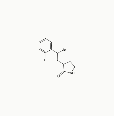 O=C1NCCC1CC(Br)c1ccccc1F